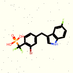 O=P(O)(O)C(F)(F)c1ccc(Cc2c[nH]c3ccc(F)cc23)cc1Br